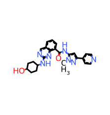 Cn1nc(-c2ccncc2)cc1NC(=O)c1cccc2cnc(NC3CCC(O)CC3)nc12